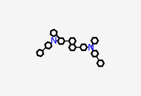 c1ccc(-c2ccc(N(c3ccccc3)c3ccc(-c4cccc5c(-c6ccc7c(c6)c6ccccc6n7-c6ccc(-c7ccccc7)cc6)cccc45)cc3)cc2)cc1